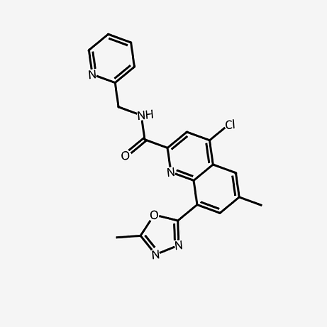 Cc1cc(-c2nnc(C)o2)c2nc(C(=O)NCc3ccccn3)cc(Cl)c2c1